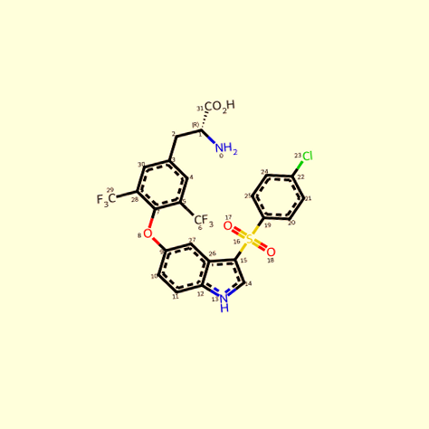 N[C@H](Cc1cc(C(F)(F)F)c(Oc2ccc3[nH]cc(S(=O)(=O)c4ccc(Cl)cc4)c3c2)c(C(F)(F)F)c1)C(=O)O